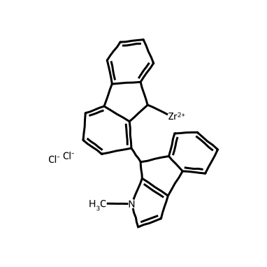 Cn1ccc2c1C(c1cccc3c1[CH]([Zr+2])c1ccccc1-3)c1ccccc1-2.[Cl-].[Cl-]